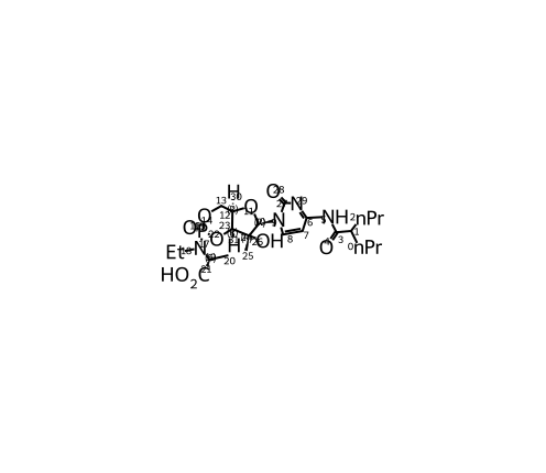 CCCC(CCC)C(=O)Nc1ccn([C@@H]2O[C@@H]3COP(=O)(N(CC)[C@@H](C)C(=O)O)O[C@H]3[C@@]2(C)O)c(=O)n1